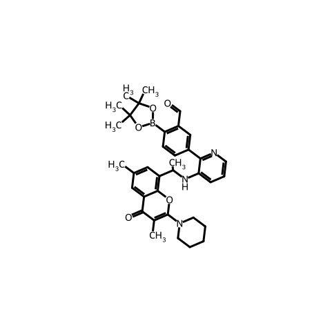 Cc1cc(C(C)Nc2cccnc2-c2ccc(B3OC(C)(C)C(C)(C)O3)c(C=O)c2)c2oc(N3CCCCC3)c(C)c(=O)c2c1